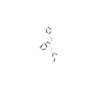 C=C/C(=C\C=C(\C)N)CCn1c2c(c3cc(C)ccc31)CN(c1ccccc1)CC2